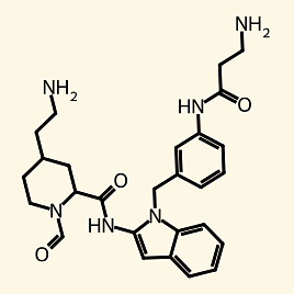 NCCC(=O)Nc1cccc(Cn2c(NC(=O)C3CC(CCN)CCN3C=O)cc3ccccc32)c1